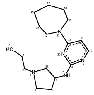 OCCN1CCC(Nc2nccc(N3CCCCCC3)n2)C1